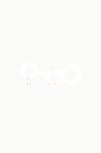 c1c[nH]c(-c2nnc3ccccc3n2)c1